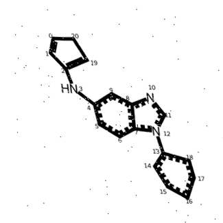 C1=CC(Nc2ccc3c(c2)ncn3-c2ccccc2)=CC1